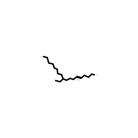 [CH2]CCC/C=C/CCCC(CC)CCCCCCC[CH2]